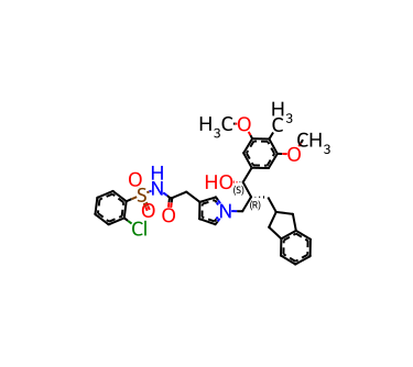 COc1cc([C@@H](O)[C@H](CC2Cc3ccccc3C2)Cn2ccc(CC(=O)NS(=O)(=O)c3ccccc3Cl)c2)cc(OC)c1C